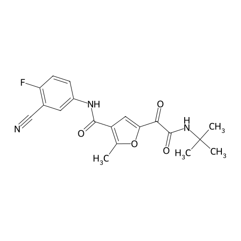 Cc1oc(C(=O)C(=O)NC(C)(C)C)cc1C(=O)Nc1ccc(F)c(C#N)c1